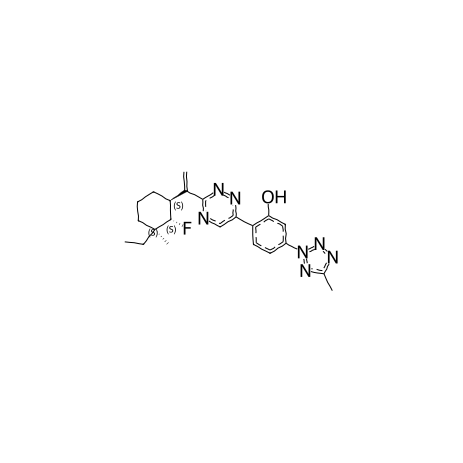 C=C(c1ncc(-c2ccc(-n3nnc(C)n3)cc2O)nn1)[C@@H]1CCC[C@](C)(CC)[C@H]1F